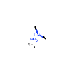 CNC.N.[SiH4]